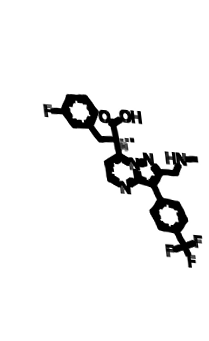 CNCc1nn2c([C@@](C)(Cc3cccc(F)c3)C(=O)O)ccnc2c1-c1ccc(C(F)(F)F)cc1